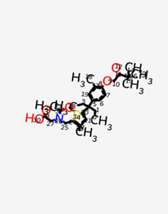 CCC(CC)(c1ccc(OCC(=O)C(C)(C)C)c(C)c1)c1cc(C)c(CN(CC(=O)O)C(C)=O)s1